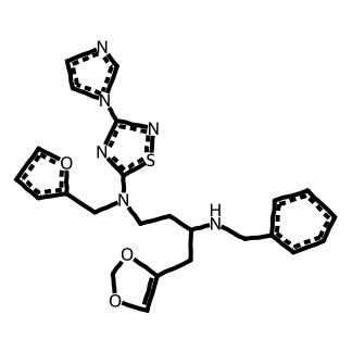 C1=C(CC(CCN(Cc2ccco2)c2nc(-n3ccnc3)ns2)NCc2ccccc2)OCO1